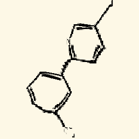 FC(F)(F)c1cccc(-c2ccc(I)cn2)c1